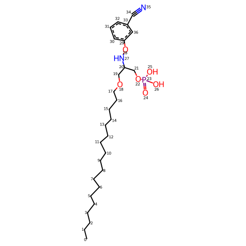 CCCCCCCCCCCCCCCCCCOCC(COP(=O)(O)O)NOc1cccc(C#N)c1